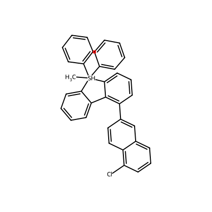 C[SH]1(c2ccccc2)(c2ccccc2)c2ccccc2-c2c(-c3ccc4c(Cl)cccc4c3)cccc21